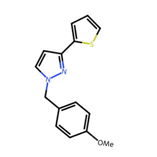 COc1ccc(Cn2ccc(-c3cccs3)n2)cc1